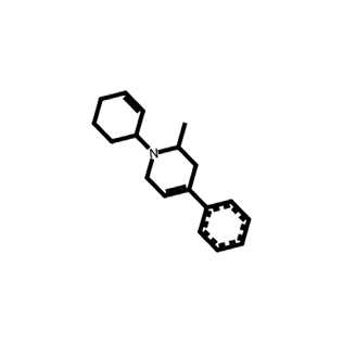 CC1CC(c2ccccc2)=CCN1C1C=CCCC1